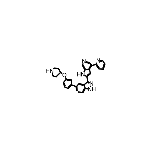 C=C(/C=c1/c(-c2cc3c(-c4ccccn4)cncc3[nH]2)n[nH]/c1=C/C)c1cccc(OC2CCNCC2)c1